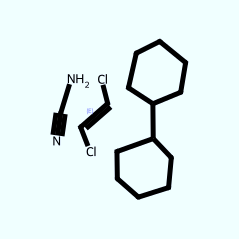 C1CCC(C2CCCCC2)CC1.Cl/C=C/Cl.N#CN